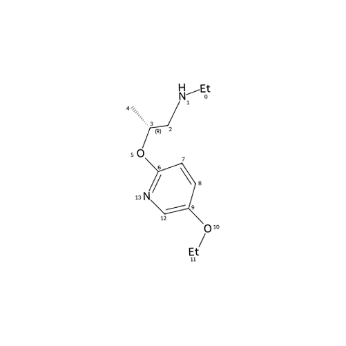 CCNC[C@@H](C)Oc1ccc(OCC)cn1